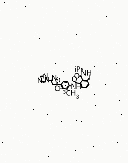 Cc1cc(C2(C(F)(F)F)CC(n3cncn3)=NO2)ccc1NC(=O)c1cccc(I)c1C(=O)NC(C)C